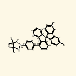 Cc1ccc([Si]2(c3ccc(C)cc3)c3ccccc3-c3c(-c4ccc(B5OC(C)(C)C(C)(C)O5)cc4)cccc32)cc1